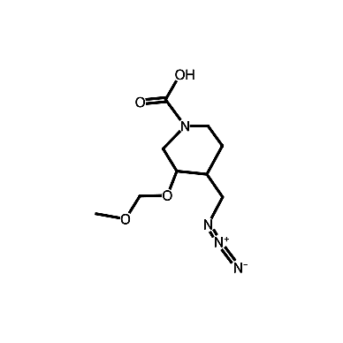 COCOC1CN(C(=O)O)CCC1CN=[N+]=[N-]